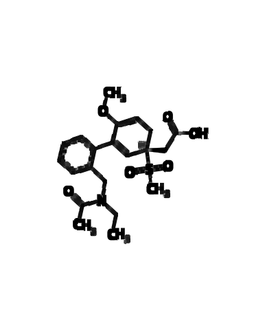 CCN(Cc1ccccc1C1=C[C@@](CC(=O)O)(S(C)(=O)=O)CC=C1OC)C(C)=O